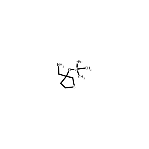 CC(C)(C)[Si](C)(C)OC1(CN)CCSC1